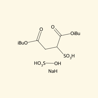 CC(C)COC(=O)CC(C(=O)OCC(C)C)S(=O)(=O)O.O=S(=O)(O)O.[NaH]